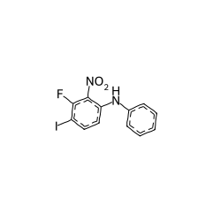 O=[N+]([O-])c1c(Nc2ccccc2)ccc(I)c1F